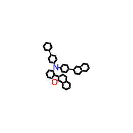 c1ccc(-c2ccc(N(c3ccc(-c4ccc5ccccc5c4)cc3)c3cccc4oc5c6ccccc6ccc5c34)cc2)cc1